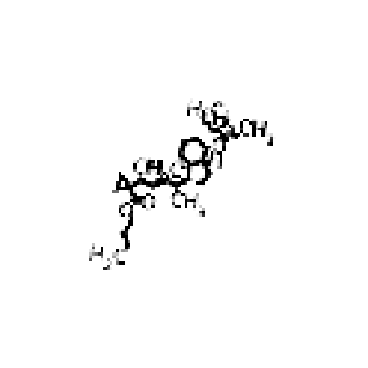 CCCCOC(=O)C1([C@H](O)/C=C/[C@@H](C)[C@H]2CC[C@H]3[C@@H](O[Si](CC)(CC)CC)CCC[C@]23C)CC1